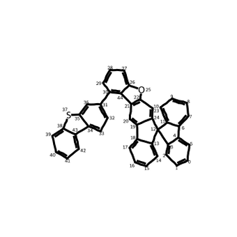 c1ccc2c(c1)-c1ccccc1C21c2ccccc2-c2cc3c(cc21)oc1cccc(-c2ccc4c(c2)sc2ccccc24)c13